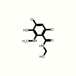 CNc1c(O)c(Cl)cc(Cl)c1C(=O)NCO